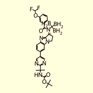 BC(B)(B)N(C(=O)c1cccc(OC(F)F)c1)[C@@H]1CCn2c1nc1ccc(-c3cnc(C(C)(C)NC(=O)OC(C)(C)C)nc3)cc12